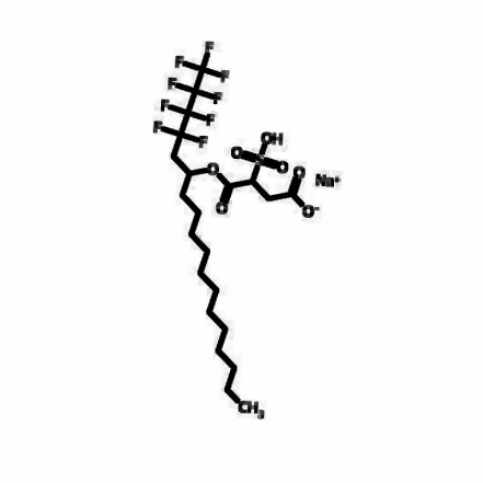 CCCCCCCCCCCCC(CC(F)(F)C(F)(F)C(F)(F)C(F)(F)F)OC(=O)C(CC(=O)[O-])S(=O)(=O)O.[Na+]